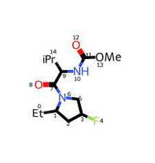 CCC1CC(F)CN1C(=O)C(NC(=O)OC)C(C)C